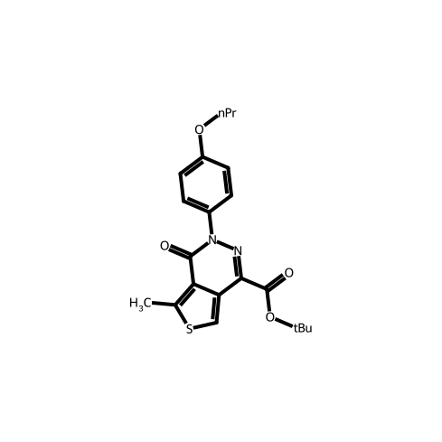 CCCOc1ccc(-n2nc(C(=O)OC(C)(C)C)c3csc(C)c3c2=O)cc1